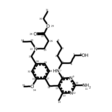 CCCC(CCO)Nc1nc(N)nc(C)c1Cc1ccc(CN(CC)CCC(=O)OCC)cc1OC